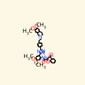 COc1cc2c(cc1OC)CN(CCc1ccc(C3N=NC(c4cc(OC)c(OC)cc4NC(=O)c4cc(=O)c5ccccc5o4)=N3)cc1)CC2